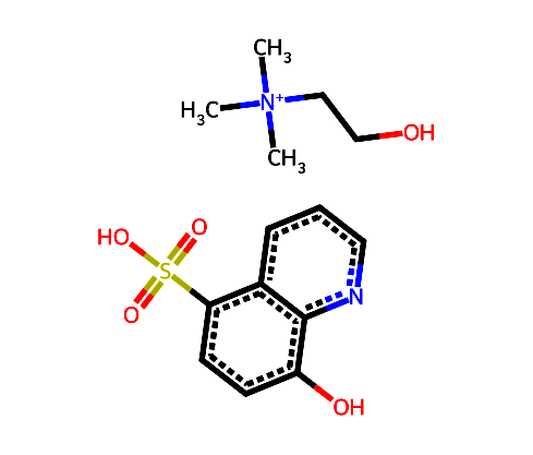 C[N+](C)(C)CCO.O=S(=O)(O)c1ccc(O)c2ncccc12